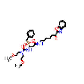 COCCN(CCOC)C(=O)NC(CC(=O)NCCCCCC(=O)c1nc2ccccc2o1)S(=O)(=O)Cc1ccccc1